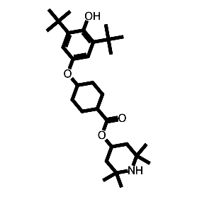 CC1(C)CC(OC(=O)C2CCC(Oc3cc(C(C)(C)C)c(O)c(C(C)(C)C)c3)CC2)CC(C)(C)N1